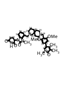 COc1cc(-c2cn(C)c(=O)c(C)c2C)cc(OC)c1CN1CCC2(CCCN(Cc3cccc4c3n(C)c(=O)n4C3CCC(=O)NC3=O)C2)CC1